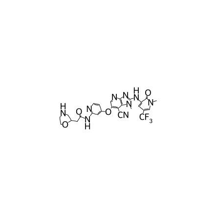 Cn1cc(C(F)(F)F)cc(Nc2nc3ncc(Oc4ccnc(NC(=O)CC5CNCCO5)c4)c(C#N)c3n2C)c1=O